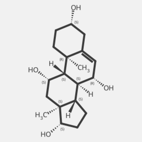 C[C@]12C[C@H](O)[C@H]3[C@@H]([C@@H](O)C=C4C[C@@H](O)CC[C@@]43C)[C@@H]1CC[C@@H]2O